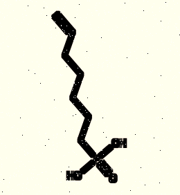 C=CCCCCCP(=O)(O)O